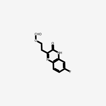 O=COCCc1nc2ccc(F)cc2[nH]c1=O